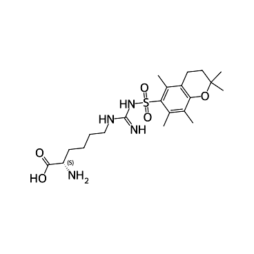 Cc1c(C)c(S(=O)(=O)NC(=N)NCCCC[C@H](N)C(=O)O)c(C)c2c1OC(C)(C)CC2